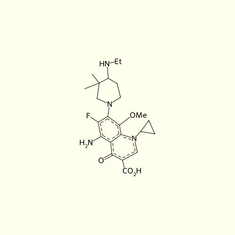 CCNC1CCN(c2c(F)c(N)c3c(=O)c(C(=O)O)cn(C4CC4)c3c2OC)CC1(C)C